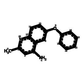 Cc1cc(N)c2cc(Oc3ccccc3)ccc2n1